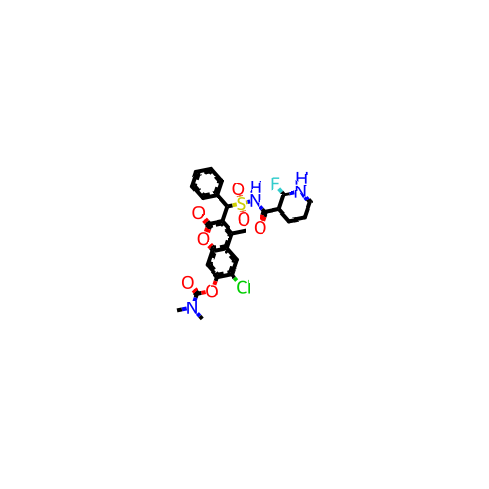 Cc1c(C(c2ccccc2)S(=O)(=O)NC(=O)C2CCCNC2F)c(=O)oc2cc(OC(=O)N(C)C)c(Cl)cc12